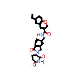 C=Cc1ccc2c(c1)C=C(C(=O)NCc1ccc3c(c1)CN(C1CCC(=O)NC1=O)C3=O)CO2